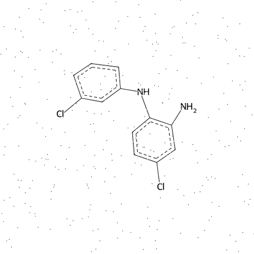 Nc1cc(Cl)ccc1Nc1cccc(Cl)c1